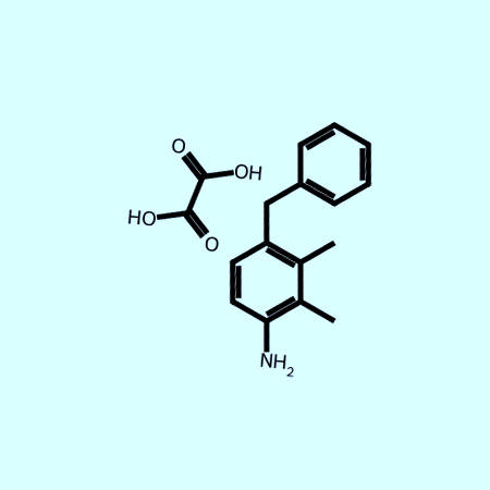 Cc1c(N)ccc(Cc2ccccc2)c1C.O=C(O)C(=O)O